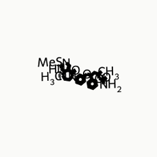 CSC1=NC=C2C(=O)N(c3cccc(OC(CC(C)OC(N)=O)c4ccccc4)c3)CCN(C)C2N1